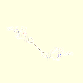 COC(=O)N[C@H](C(=O)N1[C@@H]2CC2C[C@H]1c1nc2cc(C#CC#Cc3ccc4[nH]c([C@@H]5CC6C[C@H]6N5C(=O)[C@@H](NC(=O)O)C(C)C)nc4c3)ccc2[nH]1)C(C)C